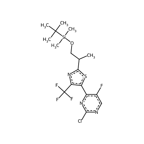 CC(CO[Si](C)(C)C(C)(C)C)c1nc(C(F)(F)F)c(-c2nc(Cl)ncc2F)s1